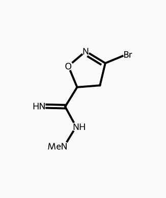 CNNC(=N)C1CC(Br)=NO1